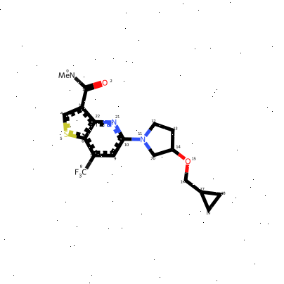 CNC(=O)c1csc2c(C(F)(F)F)cc(N3CCC(OCC4CC4)C3)nc12